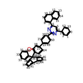 c1ccc(-c2cc(-c3cccc4ccccc34)nc(-c3ccc(-c4ccc5c(c4)Oc4ccccc4C54c5ccccc5-c5ccccc54)cc3)n2)cc1